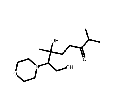 CC(C)C(=O)CCC(C)(O)C(CO)N1CCOCC1